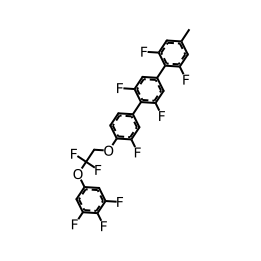 Cc1cc(F)c(-c2cc(F)c(-c3ccc(OCC(F)(F)Oc4cc(F)c(F)c(F)c4)c(F)c3)c(F)c2)c(F)c1